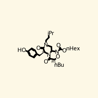 CCCCCCOC(=O)N1O[C@H](CCCC)C(=O)N2C1CN(CCC(C)C)C(=O)[C@@H]2Cc1ccc(O)cc1